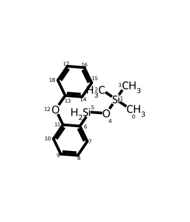 C[Si](C)(C)O[SiH2]c1ccccc1Oc1ccccc1